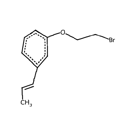 C/C=C/c1cccc(OCCBr)c1